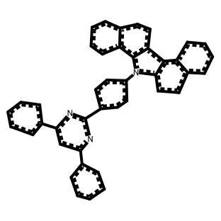 c1ccc(-c2cc(-c3ccccc3)nc(-c3ccc(-n4c5ccc6ccccc6c5c5ccc6ccccc6c54)cc3)n2)cc1